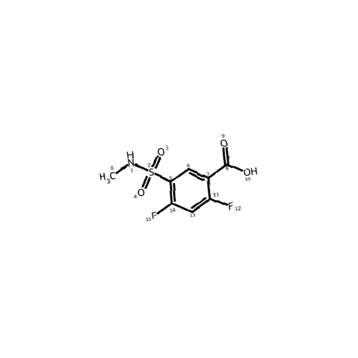 CNS(=O)(=O)c1cc(C(=O)O)c(F)cc1F